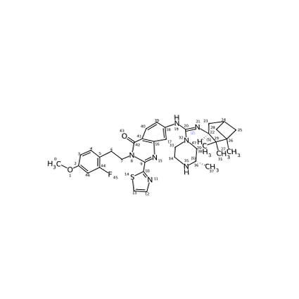 COc1ccc(CCn2c(-c3nccs3)nc3cc(N/C(=N/[C@H]4CC5CC(C)(C5)C4(C)C)N4CCN[C@@H](C)C4)ccc3c2=O)c(F)c1